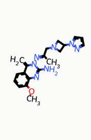 C=C1c2cccc(OC)c2N=C(N)N1/N=C(\C)CN1CC(n2cccn2)C1